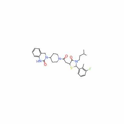 Cc1c(F)cccc1C1SC(CC(=O)N2CCC(N3Cc4ccccc4NC3=O)CC2)C(=O)N1CCC(C)C